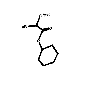 CCCCCC(CCC)C(=O)OC1CCCCC1